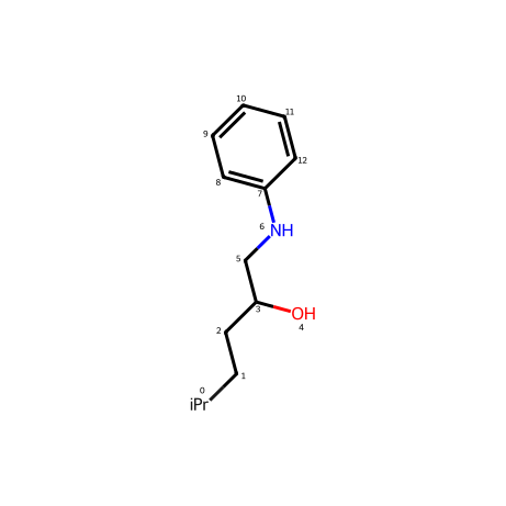 CC(C)CCC(O)CNc1ccccc1